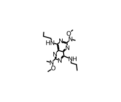 CCCNc1nc(N(C)OC)nc2c(NCCC)nc(N(C)OC)nc12